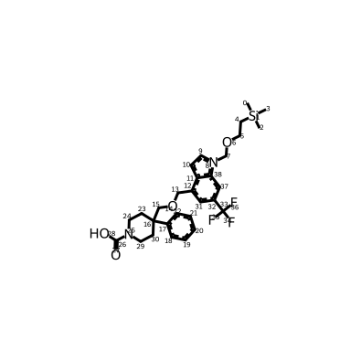 C[Si](C)(C)CCOCn1ccc2c(COCC3(c4ccccc4)CCN(C(=O)O)CC3)cc(C(F)(F)F)cc21